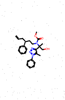 C=CCC(CCN(C(=O)OC)C(C)(CO)c1nnn(-c2ccccc2)c1C)c1ccccc1